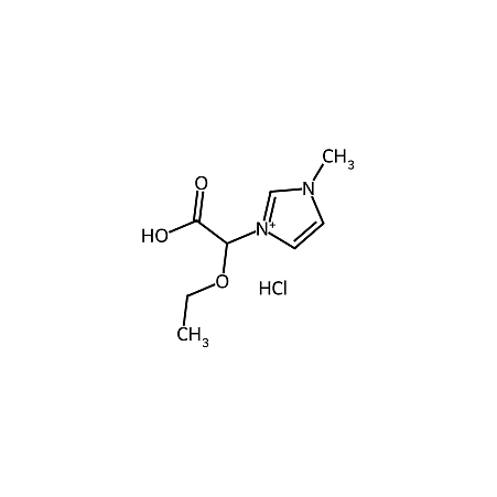 CCOC(C(=O)O)[n+]1ccn(C)c1.Cl